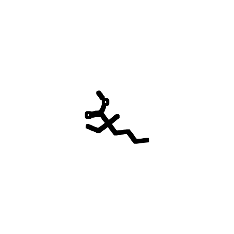 CCCCC(C)(CC)C(=O)OC